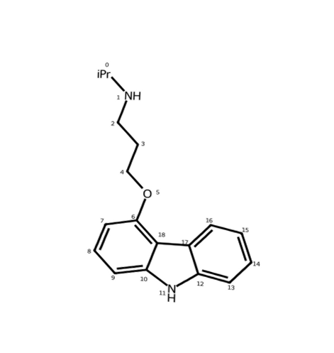 CC(C)NCCCOc1cccc2[nH]c3ccccc3c12